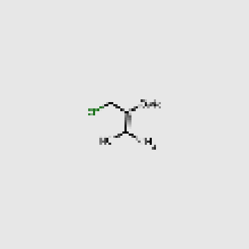 COC(CCl)=C(C)C#N